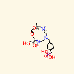 C[C@H]1CN(C)CCN(Cc2ccc(CP(=O)(O)O)cc2)CCN(C)[C@@H]([C@H](O)CO)COCO1